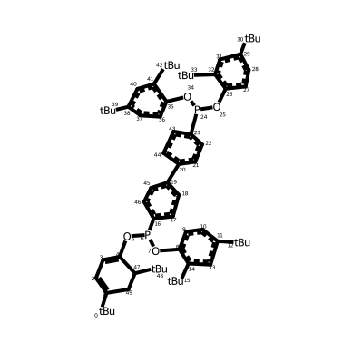 CC(C)(C)C1=CC=C(OP(Oc2ccc(C(C)(C)C)cc2C(C)(C)C)c2ccc(-c3ccc(P(Oc4ccc(C(C)(C)C)cc4C(C)(C)C)Oc4ccc(C(C)(C)C)cc4C(C)(C)C)cc3)cc2)C(C(C)(C)C)C1